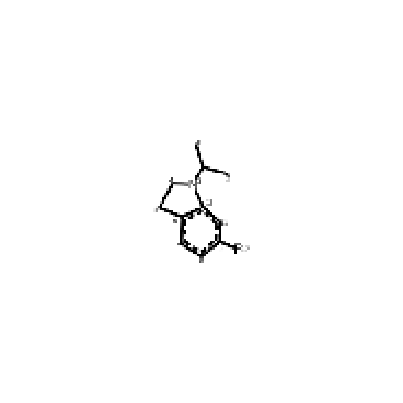 CC(C)N1CCc2ccc(F)cc21